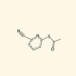 CC(=O)Sc1cccc(C#N)n1